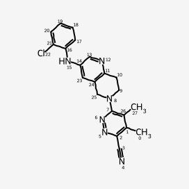 Cc1c(C#N)nnc(N2CCc3ncc(Nc4ccccc4Cl)cc3C2)c1C